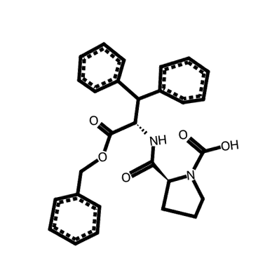 O=C(OCc1ccccc1)[C@@H](NC(=O)[C@@H]1CCCN1C(=O)O)C(c1ccccc1)c1ccccc1